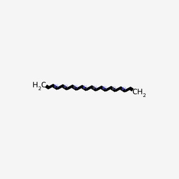 C=C/C=C/C=C/C=C/C=C/C=C/C=C/C=C/C=C/C=C